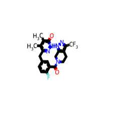 Cc1c(Cc2ccc(F)c(C(=O)N3CCc4c(C(F)(F)F)n[nH]c4C3)c2)n[nH]c(=O)c1C